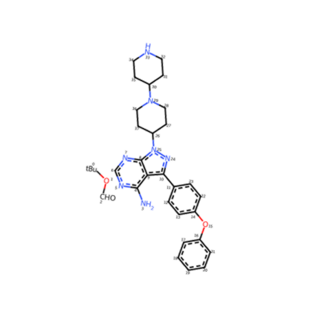 CC(C)(C)OC=O.Nc1ncnc2c1c(-c1ccc(Oc3ccccc3)cc1)nn2C1CCN(C2CCNCC2)CC1